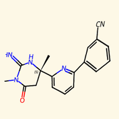 CN1C(=N)N[C@](C)(c2cccc(-c3cccc(C#N)c3)n2)CC1=O